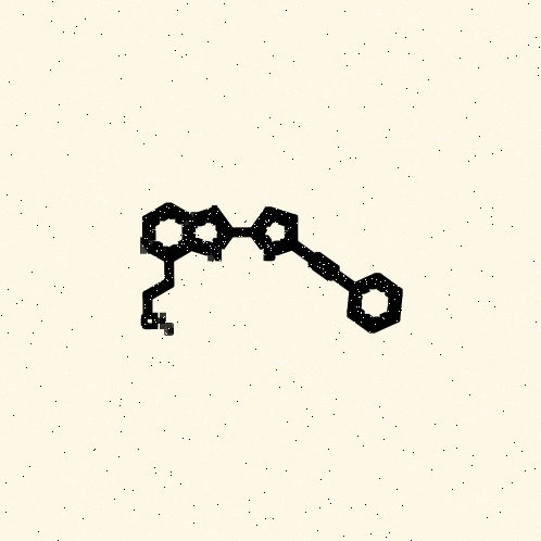 CCCc1nccn2[c]c(-c3ccc(C#Cc4ccccc4)s3)nc12